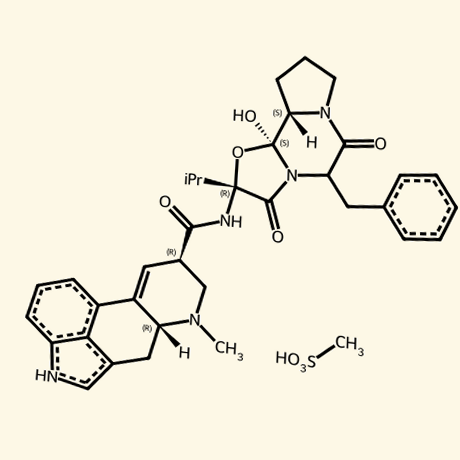 CC(C)[C@@]1(NC(=O)[C@@H]2C=C3c4cccc5[nH]cc(c45)C[C@H]3N(C)C2)O[C@@]2(O)[C@@H]3CCCN3C(=O)C(Cc3ccccc3)N2C1=O.CS(=O)(=O)O